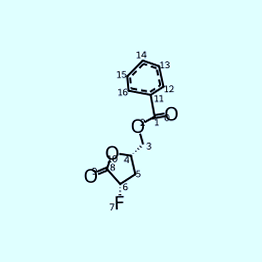 O=C(OC[C@@H]1C[C@H](F)C(=O)O1)c1ccccc1